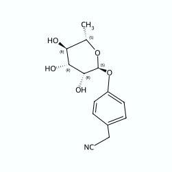 C[C@@H]1O[C@@H](Oc2ccc(CC#N)cc2)[C@H](O)[C@H](O)[C@H]1O